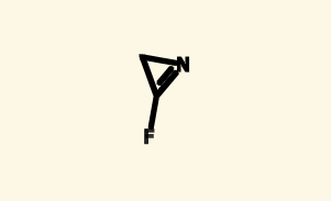 FC1=NC1